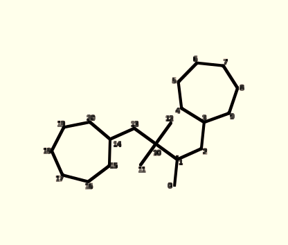 C[C](CC1CCCCCC1)C(C)(C)CC1CCCCCC1